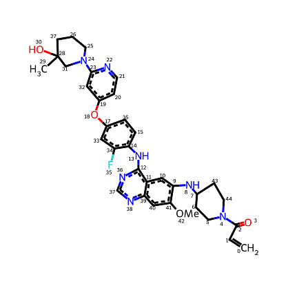 C=CC(=O)N1CCC(Nc2cc3c(Nc4ccc(Oc5ccnc(N6CCCC(C)(O)C6)c5)cc4F)ncnc3cc2OC)CC1